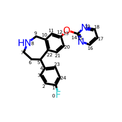 Fc1ccc(C2CCNCc3cc(Oc4ncccn4)ccc32)cc1